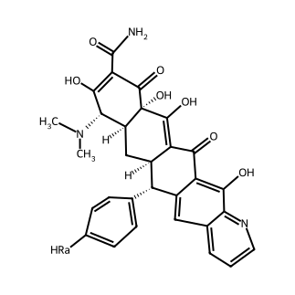 CN(C)[C@@H]1C(O)=C(C(N)=O)C(=O)[C@@]2(O)C(O)=C3C(=O)c4c(cc5cccnc5c4O)[C@H](c4cc[c]([RaH])cc4)[C@H]3C[C@@H]12